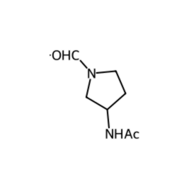 CC(=O)NC1CCN([C]=O)C1